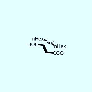 CCCCC[CH2][Sn+2][CH2]CCCCC.O=C([O-])C=CC(=O)[O-]